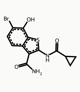 NC(=O)c1c(NC(=O)C2CC2)sc2c(O)c(Br)ccc12